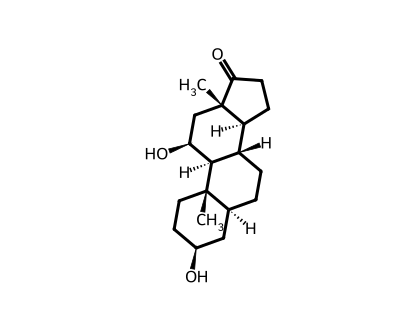 C[C@]12CC[C@H](O)C[C@@H]1CC[C@@H]1[C@@H]2[C@@H](O)C[C@]2(C)C(=O)CC[C@@H]12